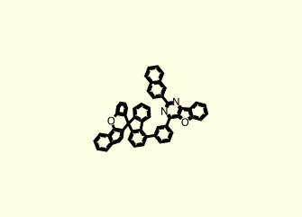 c1cc(-c2cccc3c2-c2ccccc2C32c3ccccc3Oc3c2ccc2ccccc32)cc(-c2nc(-c3ccc4ccccc4c3)nc3c2oc2ccccc23)c1